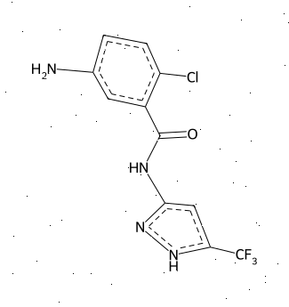 Nc1ccc(Cl)c(C(=O)Nc2cc(C(F)(F)F)[nH]n2)c1